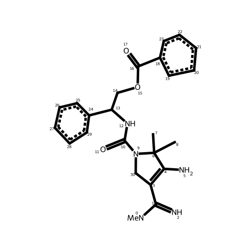 CNC(=N)C1=C(N)C(C)(C)N(C(=O)NC(COC(=O)c2ccccc2)c2ccccc2)C1